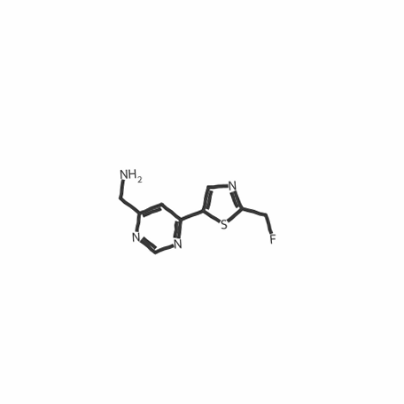 NCc1cc(-c2cnc(CF)s2)ncn1